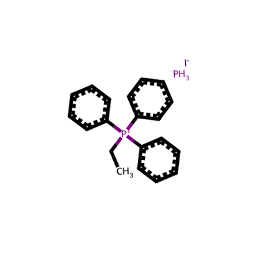 CC[P+](c1ccccc1)(c1ccccc1)c1ccccc1.P.[I-]